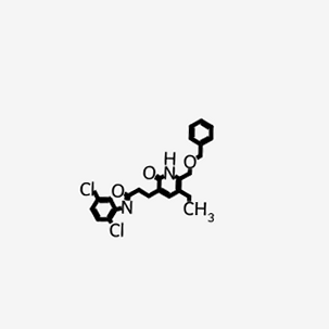 CCc1cc(CCc2nc3c(Cl)ccc(Cl)c3o2)c(=O)[nH]c1COCc1ccccc1